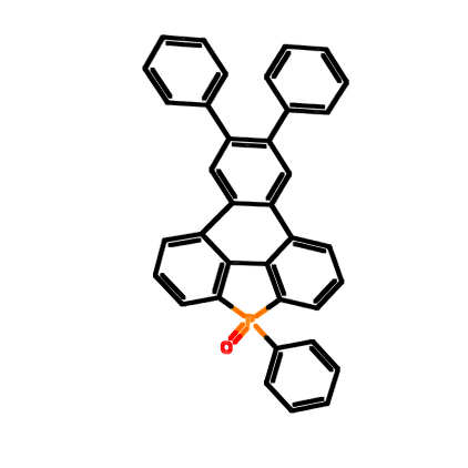 O=P1(c2ccccc2)c2cccc3c4cc(-c5ccccc5)c(-c5ccccc5)cc4c4cccc1c4c23